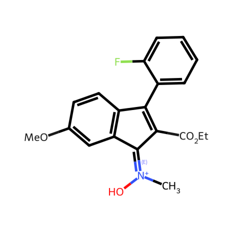 CCOC(=O)C1=C(c2ccccc2F)c2ccc(OC)cc2/C1=[N+](/C)O